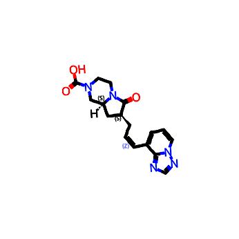 O=C(O)N1CCN2C(=O)[C@@H](C/C=C\c3cccn4ncnc34)C[C@H]2C1